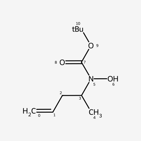 C=CCC(C)N(O)C(=O)OC(C)(C)C